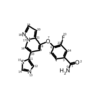 NC(=O)c1ccc(Oc2cc(-c3cncs3)cn3nccc23)c(F)c1